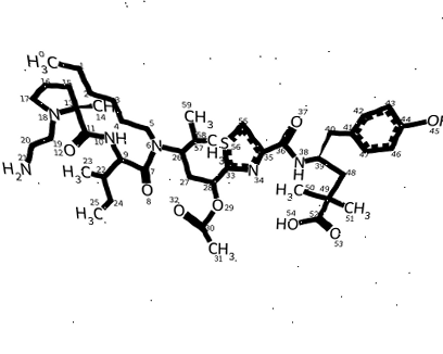 CCCCCCN(C(=O)C(NC(=O)[C@@]1(C)CCCN1CCN)C(C)CC)C(CC(OC(C)=O)c1nc(C(=O)N[C@@H](Cc2ccc(O)cc2)CC(C)(C)C(=O)O)cs1)C(C)C